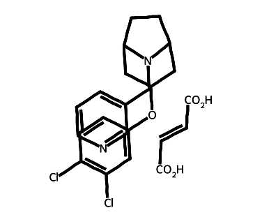 Clc1ccc(OC2CC3CCC(C2)N3Cc2cccnc2)cc1Cl.O=C(O)/C=C/C(=O)O